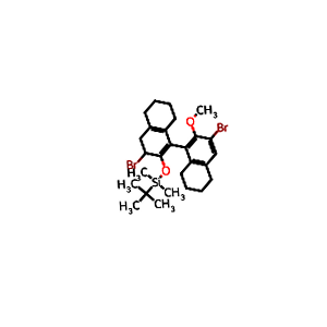 COc1c(Br)cc2c(c1C1=C(O[Si](C)(C)C(C)(C)C)C(Br)CC3=C1CCCC3)CCCC2